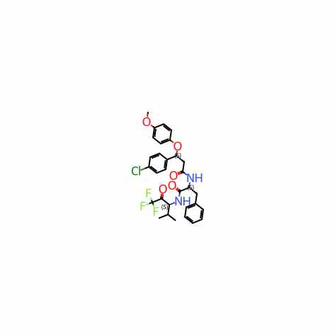 COc1ccc(O[C@@H](CC(=O)N[C@@H](Cc2ccccc2)C(=O)N[C@H](C(=O)C(F)(F)F)C(C)C)c2ccc(Cl)cc2)cc1